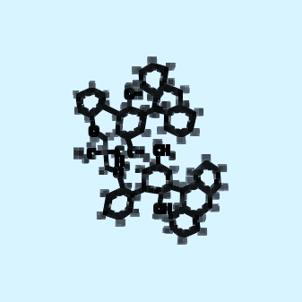 Cc1cc(-c2ccccc2OCC(C)(C)COc2ccccc2-c2cc(C)cc(-c3c4ccccc4cc4ccccc34)c2O)c(O)c(-c2c3ccccc3cc3ccccc23)c1